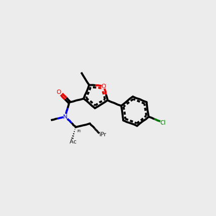 CC(=O)[C@@H](CC(C)C)N(C)C(=O)c1cc(-c2ccc(Cl)cc2)oc1C